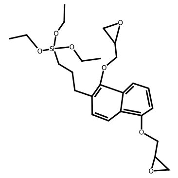 CCO[Si](CCCc1ccc2c(OCC3CO3)cccc2c1OCC1CO1)(OCC)OCC